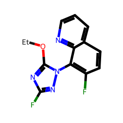 CCOc1nc(F)nn1-c1c(F)ccc2cccnc12